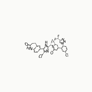 O=C1CCc2cc(-c3[nH]c(C4C5CC5c5cc(-c6cc(Cl)ccc6-n6cc(C(F)F)nn6)cc(=O)n54)nc3Cl)ccc2N1